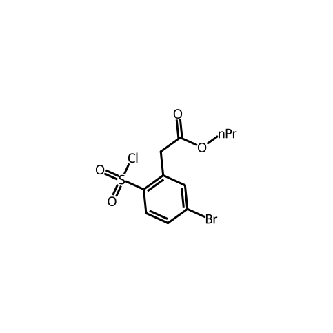 CCCOC(=O)Cc1cc(Br)ccc1S(=O)(=O)Cl